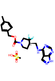 CS(=O)(=O)O.Cc1ccc(COC(=O)N2CC[C@H](CNc3ncnc4[nH]ncc34)C(F)(F)C2)cc1